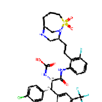 O=C(O)N[C@H](C(=O)Nc1cccc(F)c1CCC1CNC2CCCS(=O)(=O)N1C2)[C@@H](c1ccc(Cl)cc1)c1ccnc(C(F)(F)F)c1